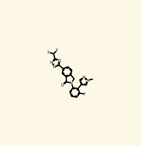 Cn1cc(-c2c(F)cccc2N2Cc3ccc(-c4nnc(C(F)F)o4)cc3C2=O)cn1